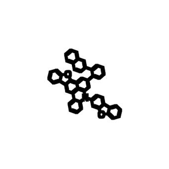 c1cc(-c2ccccc2-c2ccc3ccccc3c2)cc(N(c2ccc3c(c2)oc2ccccc23)c2ccccc2-c2ccc3oc4ccccc4c3c2)c1